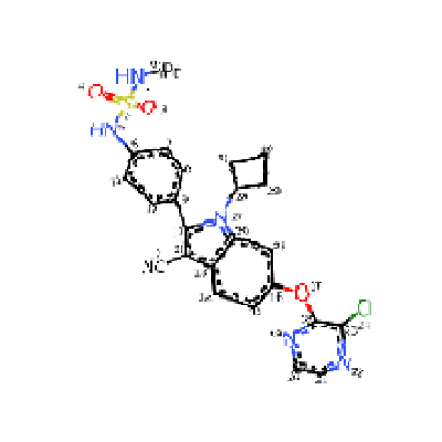 CC(C)NS(=O)(=O)Nc1ccc(-c2c(C#N)c3ccc(Oc4nccnc4Cl)cc3n2C2CCC2)cc1